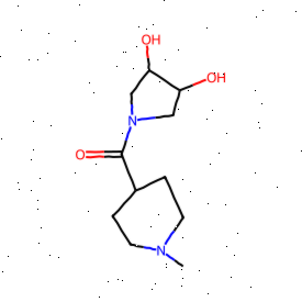 CN1CCC(C(=O)N2CC(O)C(O)C2)CC1